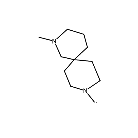 [CH2]N1CCC2(CCCN(C)C2)CC1